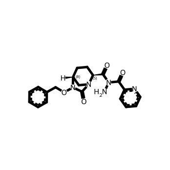 NN(C(=O)c1ccccn1)C(=O)[C@@H]1CC[C@@H]2CN1C(=O)N2OCc1ccccc1